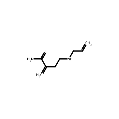 C=CCNCCC(=C)C(N)=O